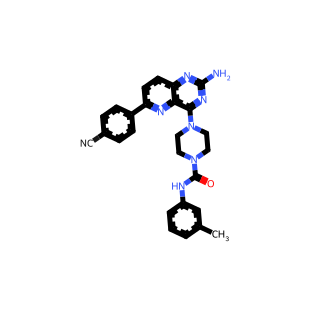 Cc1cccc(NC(=O)N2CCN(c3nc(N)nc4ccc(-c5ccc(C#N)cc5)nc34)CC2)c1